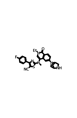 CCn1cc(N(C)c2nc(-c3ccc(F)cc3)c(C#N)s2)c2cc(N3CC4CC3CN4)ccc2c1=O